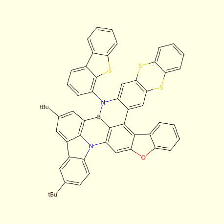 CC(C)(C)c1ccc2c(c1)c1cc(C(C)(C)C)cc3c1n2-c1cc2oc4ccccc4c2c2c1B3N(c1cccc3c1sc1ccccc13)c1cc3c(cc1-2)Sc1ccccc1S3